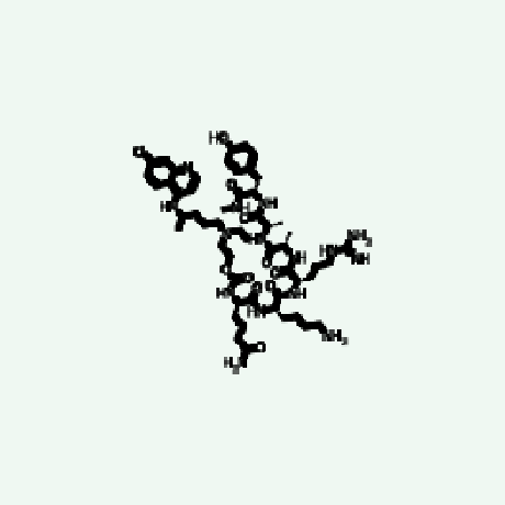 CCN(CCCC(C)Nc1ccnc2cc(Cl)ccc12)CCOC(=O)N[C@@H](CCCC(N)=O)C(=O)N[C@@H](CCCCN)C(=O)N[C@@H](CCCNC(=N)N)C(=O)N[C@@H](C)C(=O)N[C@@H](C)C(=O)N[C@@H](Cc1ccc(O)cc1)C(=O)NC